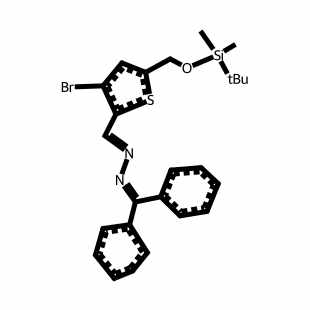 CC(C)(C)[Si](C)(C)OCc1cc(Br)c(/C=N/N=C(c2ccccc2)c2ccccc2)s1